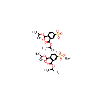 CC(C)OC(=O)c1ccc(S(=O)(=O)[O-])cc1C(=O)OC(C)C.CC(C)OC(=O)c1ccc(S(=O)(=O)[O-])cc1C(=O)OC(C)C.[Ba+2]